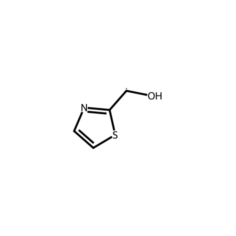 O[CH]c1nccs1